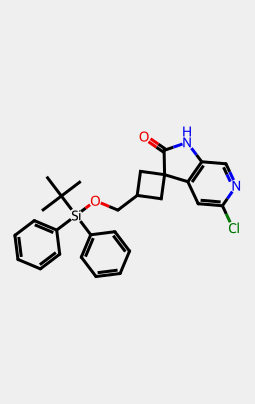 CC(C)(C)[Si](OCC1CC2(C1)C(=O)Nc1cnc(Cl)cc12)(c1ccccc1)c1ccccc1